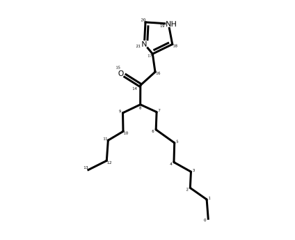 CCCCCCCCC(CCCCC)C(=O)Cc1c[nH]cn1